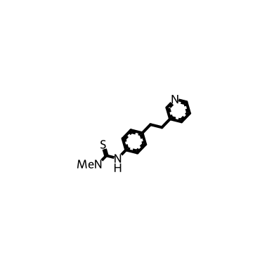 CNC(=S)Nc1ccc(CCc2cccnc2)cc1